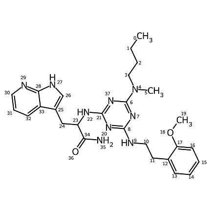 CCCCN(C)c1nc(NCCc2ccccc2OC)nc(NC(Cc2c[nH]c3ncccc23)C(N)=O)n1